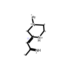 CC(=N)/C=C1/CN(C(C)C)CCN1